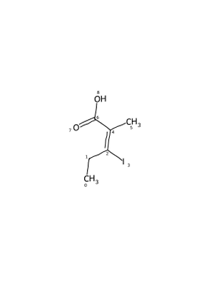 CCC(I)=C(C)C(=O)O